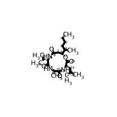 CCCCC(C)C1CC(=O)N[C@@H](C(C)C)C(=O)N[C@@H](C)C(=O)N[C@H](CC(C)C)C(=O)O1